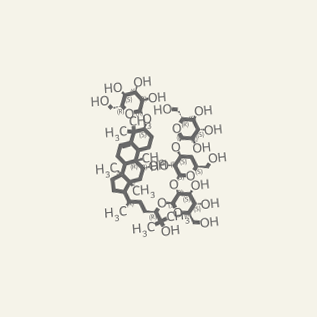 C[C@H](CC[C@@H](O[C@@H]1O[C@H](CO)[C@@H](O)[C@H](O)[C@H]1O[C@@H]1O[C@H](CO)C[C@H](O[C@@H]2O[C@H](CO)[C@@H](O)[C@H](O)[C@H]2O)[C@H]1O)C(C)(C)O)C1CC[C@@]2(C)C3CC=C4C(CC[C@H](O[C@@H]5O[C@H](CO)[C@@H](O)[C@H](O)[C@H]5O)C4(C)C)[C@]3(C)[C@H](O)C[C@]12C